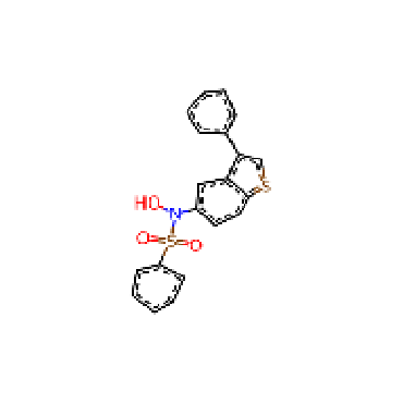 O=S(=O)(c1ccccc1)N(O)c1ccc2scc(-c3ccccc3)c2c1